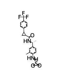 Cc1cc([C@@H](C)NC(=O)C2CC2c2ccc(C(F)(F)F)cc2)ccc1NC[SH](=O)=O